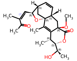 CO[C@]12C[C@H]3C=C[C@@H]4C[C@]3(O[C@H]4/C=C(/C)C(C)=O)C(C)=C1[C@@H](C)[C@@H]([C@@H](C)O)OC2=O